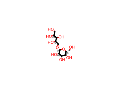 OC[C@H](O)[C@@H](O)[C@H](O)CO[C@@H]1O[C@H](CO)[C@@H](O)[C@H](O)[C@H]1O